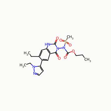 CCCOC(=O)N(n1c(=O)[nH]c2cc(CC)c(-c3ccnn3CC)cc2c1=O)S(C)(=O)=O